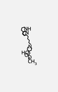 CCOC(=O)CC1(O)CCN(CCCCCc2ccc3c(n2)NCCC3)CC1